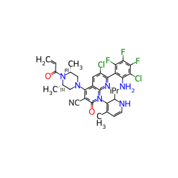 C=CC(=O)N1[C@H](C)CN(c2c(C#N)c(=O)n(C3=C(C)C=CNC3C(C)C)c3nc(-c4c(N)c(Cl)c(F)c(F)c4F)c(Cl)cc23)C[C@@H]1C